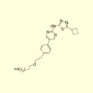 O=C(O)CCOCCc1ccc(-c2cnc(Nc3nnc(C4CCC4)s3)nc2)cc1